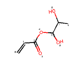 C=CC(=O)OC(O)C(C)O